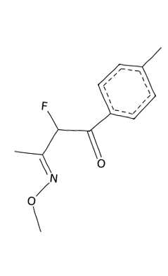 CON=C(C)C(F)C(=O)c1ccc(C)cc1